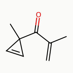 C=C(C)C(=O)C1(C)C=C1